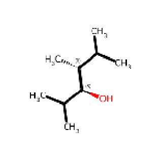 CC(C)[C@@H](C)[C@@H](O)C(C)C